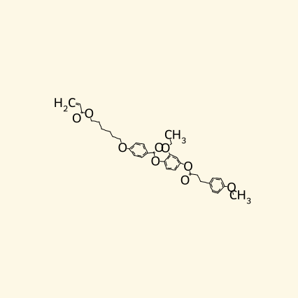 C=CC(=O)OCCCCCCOc1ccc(C(=O)Oc2ccc(OC(=O)CCc3ccc(OC)cc3)cc2OCC)cc1